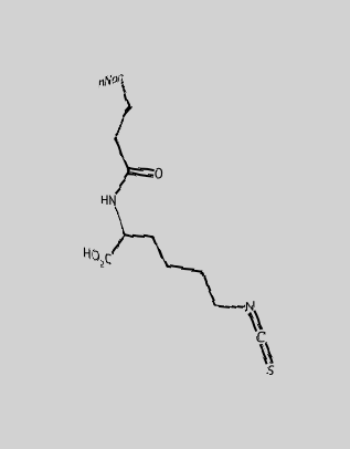 CCCCCCCCCCCC(=O)NC(CCCCN=C=S)C(=O)O